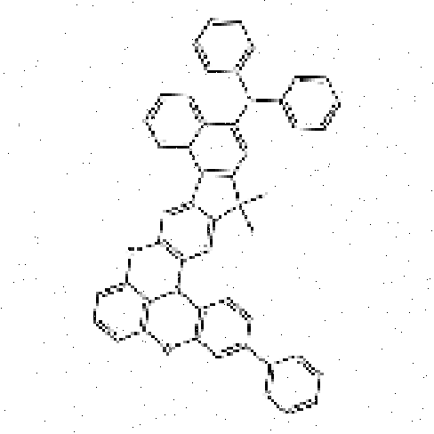 CC1(C)c2cc3c(cc2-c2c1cc(N(c1ccccc1)c1ccccc1)c1ccccc21)Oc1cccc2c1B3c1ccc(-c3ccccc3)cc1O2